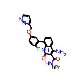 CCCNC(=O)c1c(N)c2cccc(-c3cc(OCc4cccnn4)ccc3F)c2[nH]c1=O